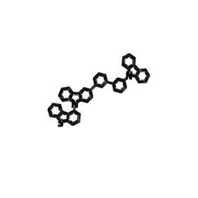 c1cc(-c2cccc(-n3c4ccccc4c4ccccc43)c2)cc(-c2ccc3c(c2)c2ccccc2n3-c2cccc3sc4ccccc4c23)c1